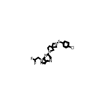 FC(F)Cn1ncc2ncc(N3CCC4(CN(Sc5ccc(Cl)cc5)C4)C3)nc21